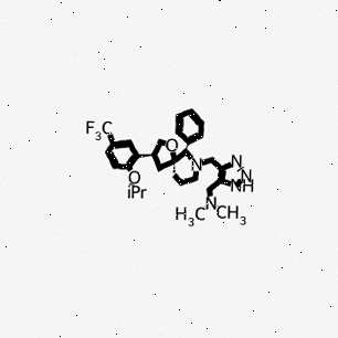 CC(C)Oc1ccc(C(F)(F)F)cc1[C@H]1CO[C@]2(CCCN(Cc3nn[nH]c3CN(C)C)[C@H]2c2ccccc2)C1